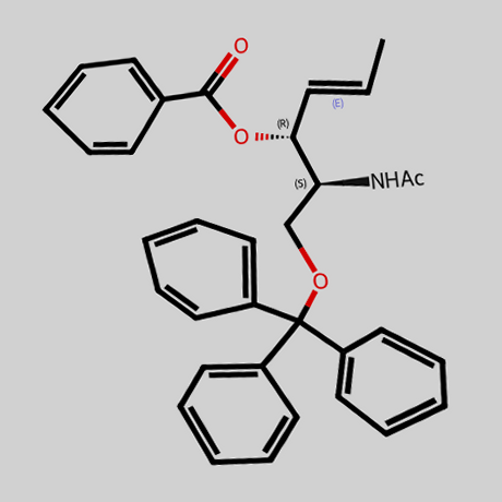 C/C=C/[C@@H](OC(=O)c1ccccc1)[C@H](COC(c1ccccc1)(c1ccccc1)c1ccccc1)NC(C)=O